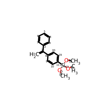 C=C(c1ccccc1)c1ccc([Si](OC)(OC)OC)cc1